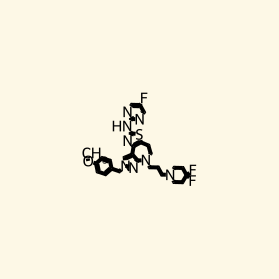 COc1ccc(Cn2cc3c(n2)N(CCCN2CCC(F)(F)CC2)CCc2sc(Nc4ncc(F)cn4)nc2-3)cc1